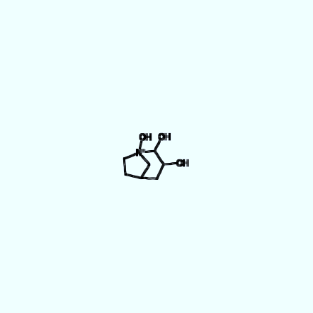 OC1CC2CC[N+](O)(C2)C1O